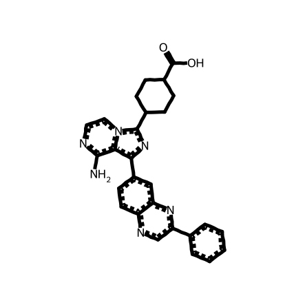 Nc1nccn2c(C3CCC(C(=O)O)CC3)nc(-c3ccc4ncc(-c5ccccc5)nc4c3)c12